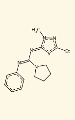 CCc1nn(C)c(=NC(=Nc2ccccc2)N2CCCC2)s1